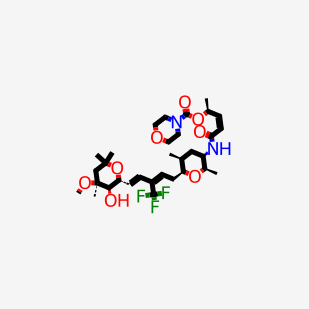 CO[C@@]1(C)CC(C)(C)O[C@H](/C=C/C(=C/C[C@@H]2O[C@H](C)[C@H](NC(=O)/C=C\[C@H](C)OC(=O)N3CCOCC3)C[C@@H]2C)C(F)(F)F)[C@H]1O